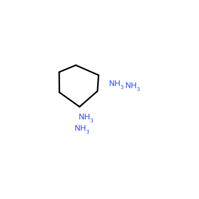 C1CCCCC1.N.N.N.N